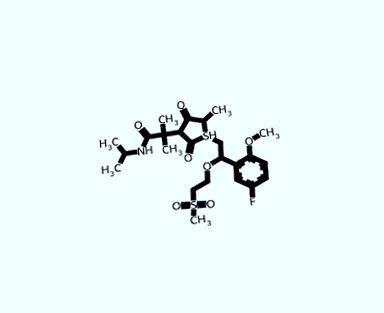 COc1ccc(F)cc1C(C[SH]1C(=O)C(C(C)(C)C(=O)NC(C)C)C(=O)C1C)OCCS(C)(=O)=O